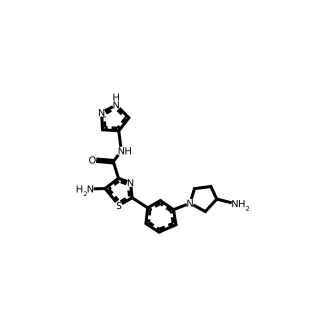 Nc1sc(-c2cccc(N3CCC(N)C3)c2)nc1C(=O)Nc1cn[nH]c1